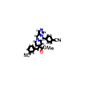 COC(=O)C1(Cc2cccc(C#N)c2)CCN(Cc2cncn2Cc2ccc(C#N)cc2)CC1